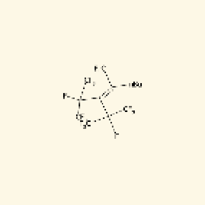 CCCCC(=C(C(F)(C(F)(F)F)C(F)(F)F)C(F)(C(F)(F)F)C(F)(F)F)C(F)(F)F